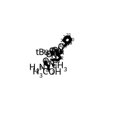 C[C@@H](O)[C@@H](C(N)=O)N(C)CC1CCC2(CN(OCc3ccccc3)C2=O)N1C(=O)OC(C)(C)C